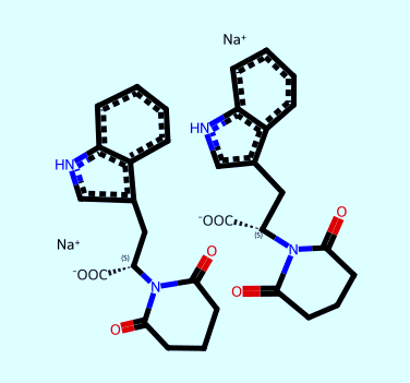 O=C([O-])[C@H](Cc1c[nH]c2ccccc12)N1C(=O)CCCC1=O.O=C([O-])[C@H](Cc1c[nH]c2ccccc12)N1C(=O)CCCC1=O.[Na+].[Na+]